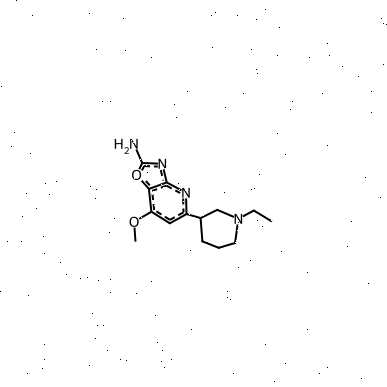 CCN1CCCC(c2cc(OC)c3oc(N)nc3n2)C1